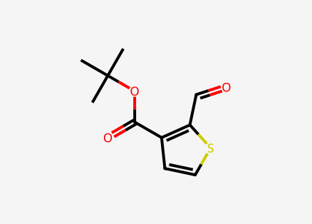 CC(C)(C)OC(=O)c1ccsc1C=O